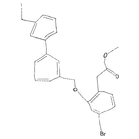 CCc1cccc(-c2cccc(COc3cc(Br)ccc3CC(=O)OC)c2)c1